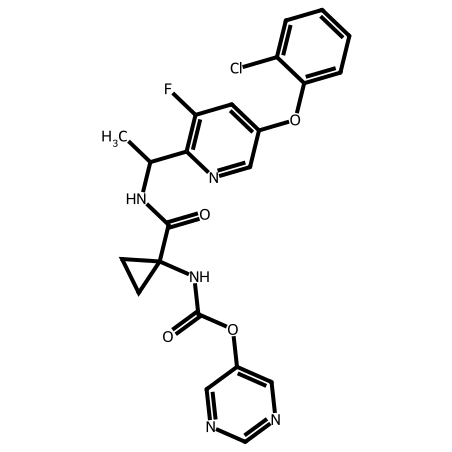 CC(NC(=O)C1(NC(=O)Oc2cncnc2)CC1)c1ncc(Oc2ccccc2Cl)cc1F